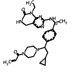 C=CC(=O)N1CCN(C(CC2CC2)c2ccc([C@H](C)Nc3ncc4c(n3)N(CC)C(=O)NC4)cc2)CC1